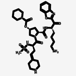 CS(=O)(=O)N[C@H](CC=C1CCNCC1)C(=O)N1C[C@H](OC(=O)N2CCCCC2)C[C@H]1C(=O)N[C@@H](CCCCN)C(=O)c1nc2ccccc2o1